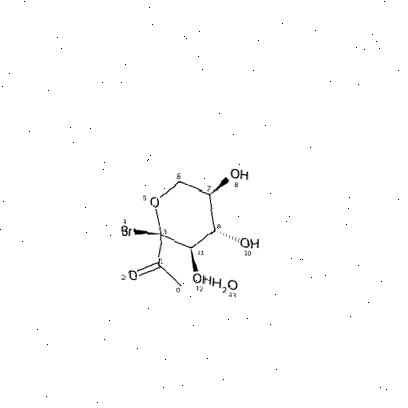 CC(=O)[C@]1(Br)OC[C@@H](O)[C@H](O)[C@H]1O.O